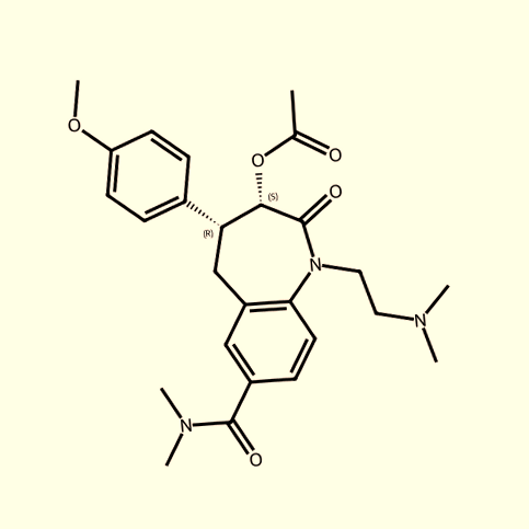 COc1ccc([C@H]2Cc3cc(C(=O)N(C)C)ccc3N(CCN(C)C)C(=O)[C@H]2OC(C)=O)cc1